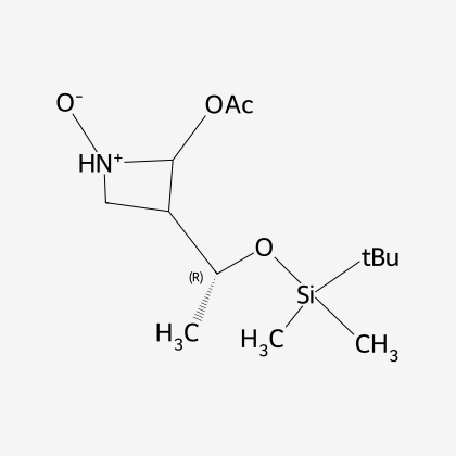 CC(=O)OC1C([C@@H](C)O[Si](C)(C)C(C)(C)C)C[NH+]1[O-]